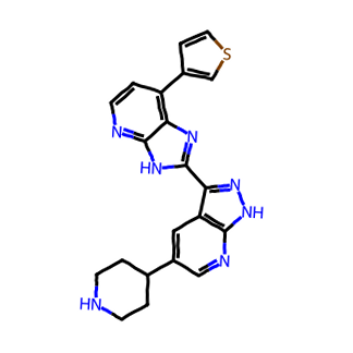 c1cc(-c2ccsc2)c2nc(-c3n[nH]c4ncc(C5CCNCC5)cc34)[nH]c2n1